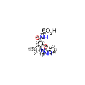 CC(CCC1(C)NC(c2ccccc2)C(=O)N1Cc1ccc(C(=O)NCCC(=O)O)cc1)C(C)(C)C